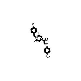 C[C@@H]1CN(C(=O)COc2ccc(Cl)cc2)C[C@@H](C)N1Cc1ccc(F)cc1